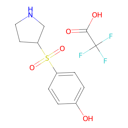 O=C(O)C(F)(F)F.O=S(=O)(c1ccc(O)cc1)C1CCNC1